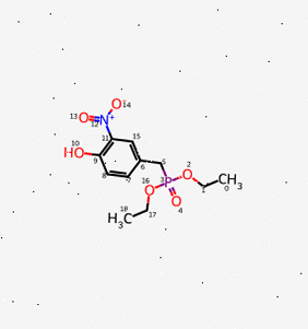 CCOP(=O)(Cc1ccc(O)c([N+](=O)[O-])c1)OCC